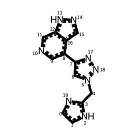 c1c[nH]c(Cn2cc(-c3cncc4[nH]ncc34)nn2)n1